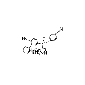 Cc1ccccc1-c1cc(C(NCc2ccc(C#N)cc2)c2cncn2C)ccc1C#N